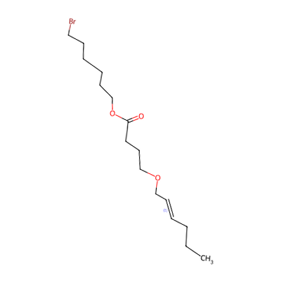 CCC/C=C/COCCCC(=O)OCCCCCCBr